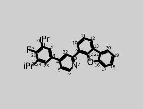 CC(C)c1cc(-c2ccnc(-c3cccc4c3oc3ccccc34)c2)cc(C(C)C)c1F